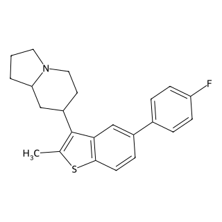 Cc1sc2ccc(-c3ccc(F)cc3)cc2c1C1CCN2CCCC2C1